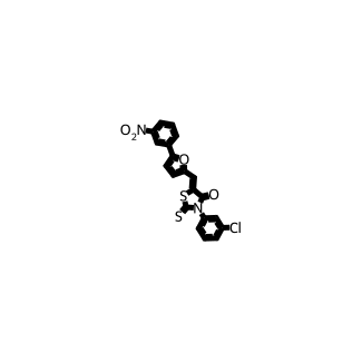 O=C1C(=Cc2ccc(-c3cccc([N+](=O)[O-])c3)o2)SC(=S)N1c1cccc(Cl)c1